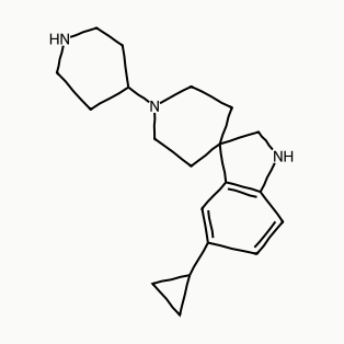 c1cc2c(cc1C1CC1)C1(CCN(C3CCNCC3)CC1)CN2